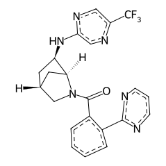 O=C(c1ccccc1-c1ncccn1)N1C[C@@H]2C[C@@H](Nc3cnc(C(F)(F)F)cn3)[C@@H]1C2